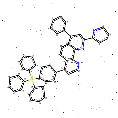 c1ccc(-c2cc(-c3ccccn3)nc3c2ccc2c(-c4ccc(S(c5ccccc5)(c5ccccc5)c5ccccc5)cc4)ccnc23)cc1